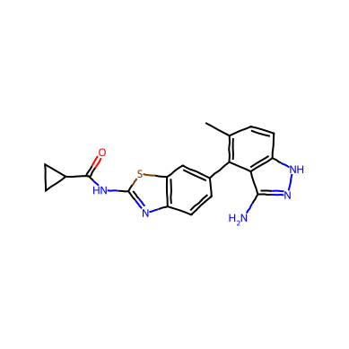 Cc1ccc2[nH]nc(N)c2c1-c1ccc2nc(NC(=O)C3CC3)sc2c1